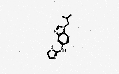 CC(C)Cn1cnc2cc(NC3=NCCN3)ccc21